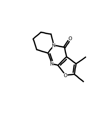 Cc1oc2nc3n(c(=O)c2c1C)CCCC3